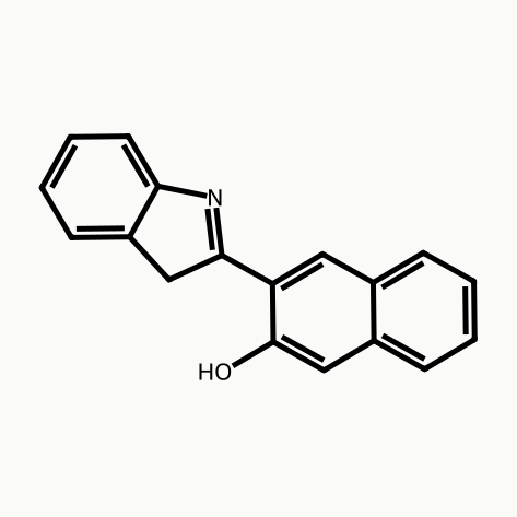 Oc1cc2ccccc2cc1C1=Nc2ccccc2C1